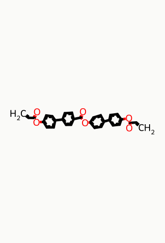 C=CC(=O)Oc1ccc(-c2ccc(OC(=O)c3ccc(-c4ccc(OC(=O)C=C)cc4)cc3)cc2)cc1